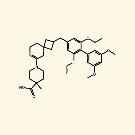 CCOc1cc(CC2CC3(CCN=C(N4CCC(C)(C(=O)O)CC4)C3)C2)cc(OCC)c1-c1cc(OC)cc(OC)c1